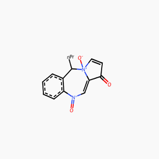 CCCC1c2ccccc2[N+](=O)C=C2C(=O)C=C[N+]21[O-]